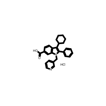 Cl.O=C(O)c1ccc2c(C3CCCCC3)c(-c3ccccc3)n(Cc3cccnc3)c2c1